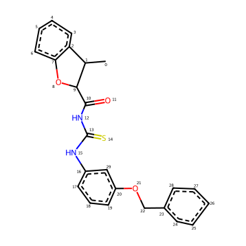 CC1c2ccccc2OC1C(=O)NC(=S)Nc1cccc(OCc2ccccc2)c1